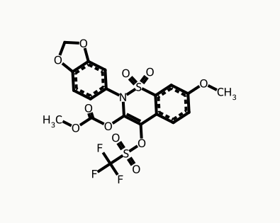 COC(=O)OC1=C(OS(=O)(=O)C(F)(F)F)c2ccc(OC)cc2S(=O)(=O)N1c1ccc2c(c1)OCO2